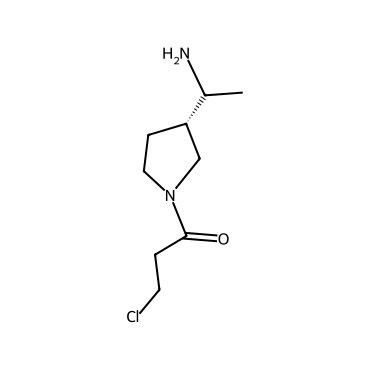 CC(N)[C@H]1CCN(C(=O)CCCl)C1